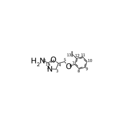 NC1=NCC(COc2ccccc2I)O1